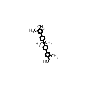 Cc1ccc(C2CCC(C(C)(C)C3CCC(c4ccc(CO)c(C)c4)CC3)CC2)cc1C